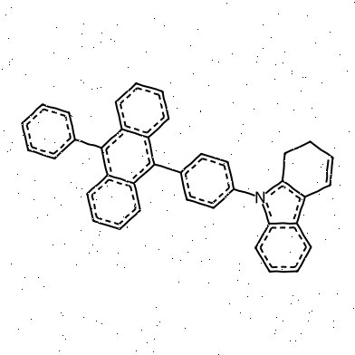 C1=Cc2c(n(-c3ccc(-c4c5ccccc5c(-c5ccccc5)c5ccccc45)cc3)c3ccccc23)CC1